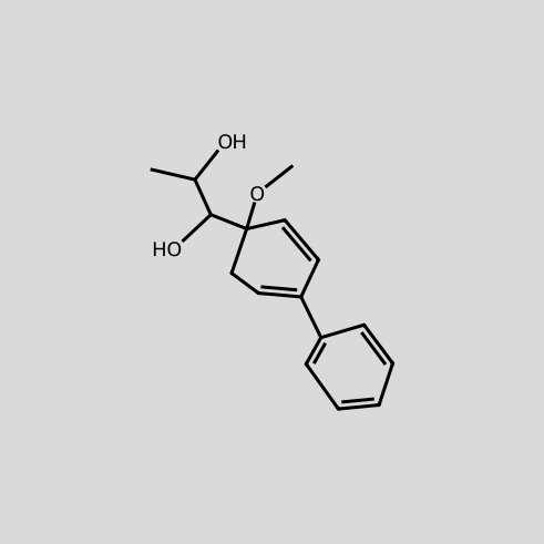 COC1(C(O)C(C)O)C=CC(c2ccccc2)=CC1